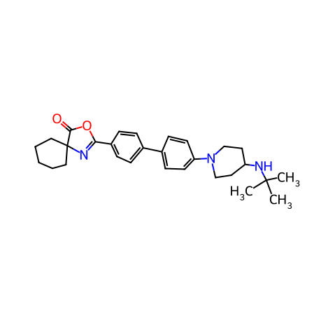 CC(C)(C)NC1CCN(c2ccc(-c3ccc(C4=NC5(CCCCC5)C(=O)O4)cc3)cc2)CC1